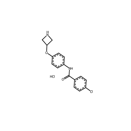 Cl.O=C(Nc1ccc(OC2CNC2)cc1)c1ccc(Cl)cc1